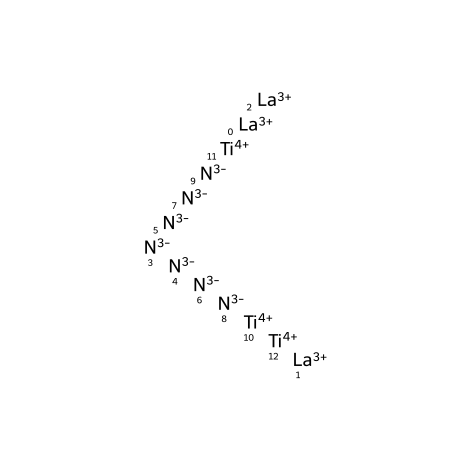 [La+3].[La+3].[La+3].[N-3].[N-3].[N-3].[N-3].[N-3].[N-3].[N-3].[Ti+4].[Ti+4].[Ti+4]